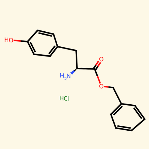 Cl.N[C@@H](Cc1ccc(O)cc1)C(=O)OCc1ccccc1